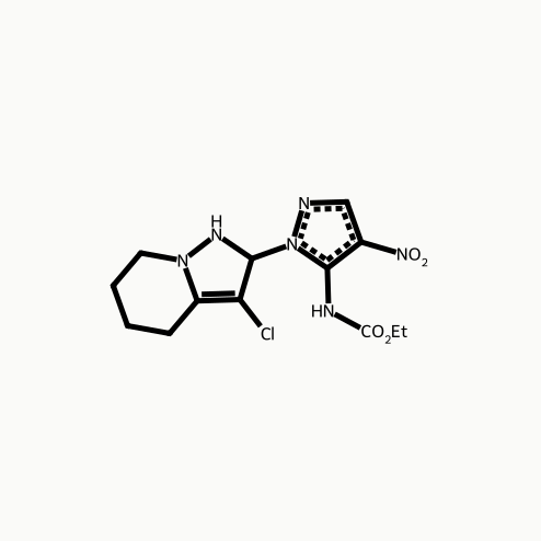 CCOC(=O)Nc1c([N+](=O)[O-])cnn1C1NN2CCCCC2=C1Cl